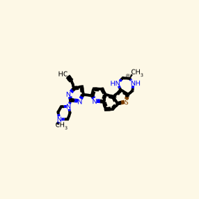 C#Cc1cc(-c2ccc3c(ccc4sc5c(c43)NC[C@@H](C)NC5)n2)nc(N2CCN(C)CC2)n1